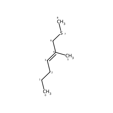 CCC/C=C(\C)CSC